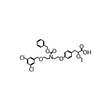 CCOC(Cc1ccc(OCCN(CCOCc2cc(Cl)cc(Cl)c2)C(=O)OCc2ccccc2)cc1)C(=O)O